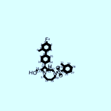 Cc1cc(F)ccc1-c1ccc([C@@H]2[C@@H](CO)N3CCCCN(S(=O)(=O)c4ccccc4C)C[C@@H]23)cc1